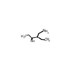 CCC(=N)C(CC)CN